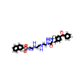 CN[C@@H](Cc1ccc(C(=O)c2ccccc2)cc1)C(=O)NCCNCCNCCNS(=O)(=O)c1ccc2ccccc2c1